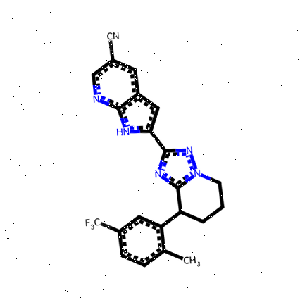 Cc1ccc(C(F)(F)F)cc1C1CCCn2nc(-c3cc4cc(C#N)cnc4[nH]3)nc21